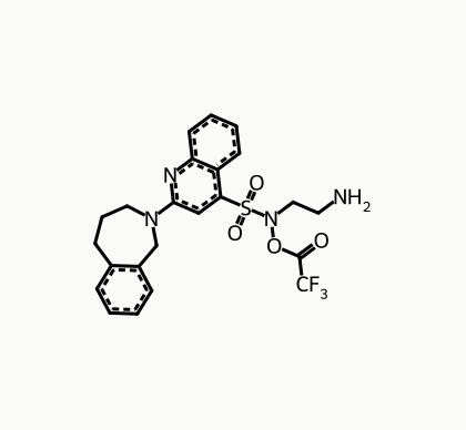 NCCN(OC(=O)C(F)(F)F)S(=O)(=O)c1cc(N2CCCc3ccccc3C2)nc2ccccc12